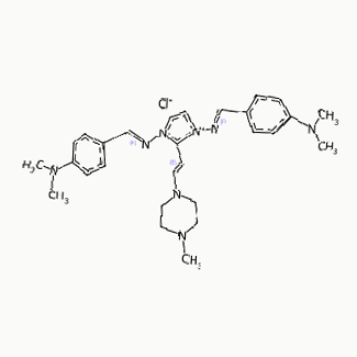 CN1CCN(/C=C/c2n(/N=C/c3ccc(N(C)C)cc3)cc[n+]2/N=C/c2ccc(N(C)C)cc2)CC1.[Cl-]